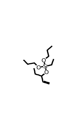 C=CC(CC)O[Si](CC)(OCCC)OCCC